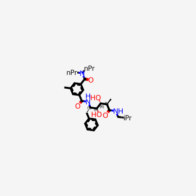 CCCN(CCC)C(=O)c1cc(C)cc(C(=O)N[C@@H](Cc2ccccc2)[C@@H](O)[C@H](O)[C@@H](C)C(=O)NCC(C)C)c1